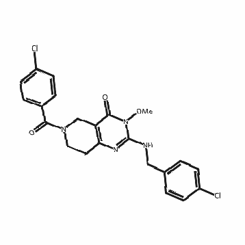 COn1c(NCc2ccc(Cl)cc2)nc2c(c1=O)CN(C(=O)c1ccc(Cl)cc1)CC2